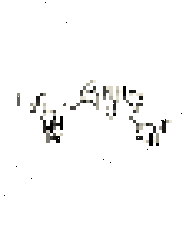 Cc1cn(C(C)C)nc1/C=C/c1csc(NC(=O)c2cccn2Cc2ccnc(F)c2)n1